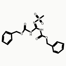 CS(=O)(=O)N=C(NC(=O)OCc1ccccc1)NC(=O)OCc1ccccc1